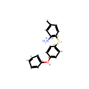 Cc1ccc(Sc2ccc(Oc3ccccc3)cc2)c(N)c1